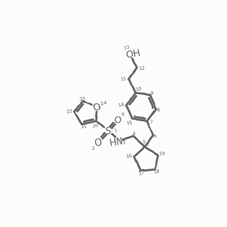 O=S(=O)(NCC1(Cc2ccc(CCO)cc2)CCCC1)c1ccco1